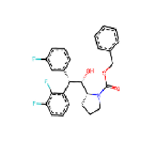 O=C(OCc1ccccc1)N1CCC[C@@H]1[C@@H](O)[C@@H](c1cccc(F)c1)c1cccc(F)c1F